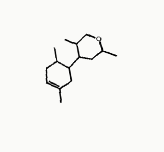 CC1=CCC(C)C(C2CC(C)OCC2C)C1